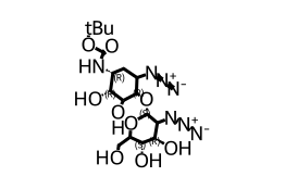 CC(C)(C)OC(=O)N[C@@H]1CC(N=[N+]=[N-])[C@@H](O[C@H]2OC(CO)[C@@H](O)[C@H](O)C2N=[N+]=[N-])C(O)[C@@H]1O